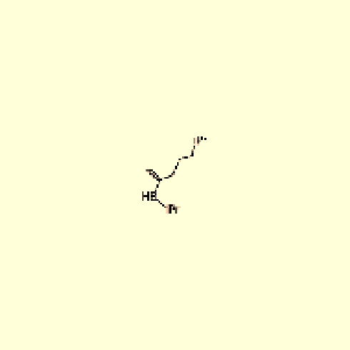 C=C(BC(C)C)CCCC(C)C